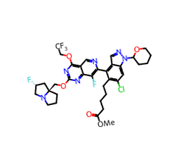 COC(=O)CCCCc1c(Cl)cc2c(cnn2C2CCCCO2)c1-c1ncc2c(OCC(F)(F)F)nc(OC[C@@]34CCCN3C[C@H](F)C4)nc2c1F